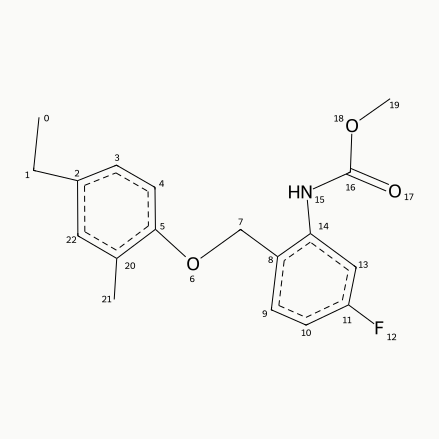 CCc1ccc(OCc2ccc(F)cc2NC(=O)OC)c(C)c1